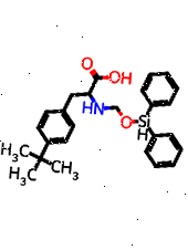 CC(C)(C)c1ccc(CC(NCO[SiH](c2ccccc2)c2ccccc2)C(=O)O)cc1